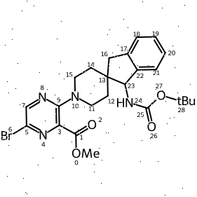 COC(=O)c1nc(Br)cnc1N1CCC2(CC1)Cc1ccccc1C2NC(=O)OC(C)(C)C